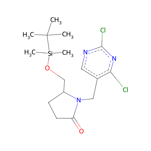 CC(C)(C)[Si](C)(C)OCC1CCC(=O)N1Cc1cnc(Cl)nc1Cl